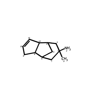 CC1(N)CC2CC(C1)C1CC=CC21